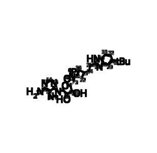 CC(C)[N@+]([O-])(C[C@H]1O[C@@H](n2cnc3c(N)ncnc32)[C@H](O)[C@@H]1O)[C@H]1C[C@H](CCc2nc3cc(C(C)(C)C)ccc3[nH]2)C1